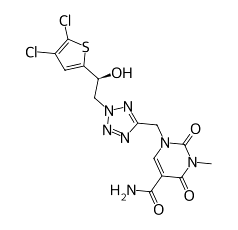 Cn1c(=O)c(C(N)=O)cn(Cc2nnn(C[C@H](O)c3cc(Cl)c(Cl)s3)n2)c1=O